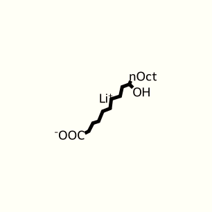 CCCCCCCCC(O)CCCCCCCCC(=O)[O-].[Li+]